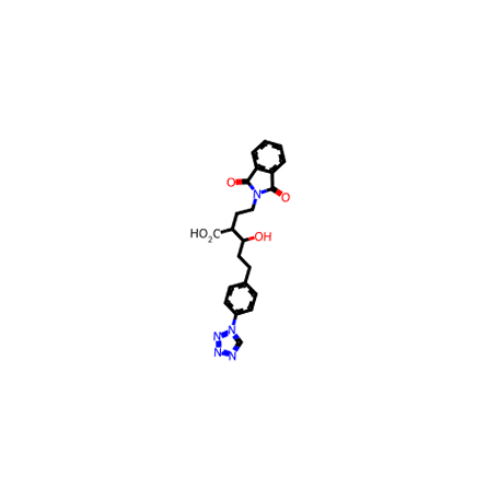 O=C(O)C(CCN1C(=O)c2ccccc2C1=O)C(O)CCc1ccc(-n2cnnn2)cc1